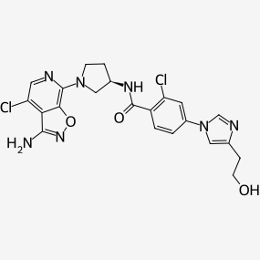 Nc1noc2c(N3CC[C@@H](NC(=O)c4ccc(-n5cnc(CCO)c5)cc4Cl)C3)ncc(Cl)c12